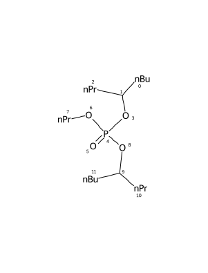 CCCCC(CCC)OP(=O)(OCCC)OC(CCC)CCCC